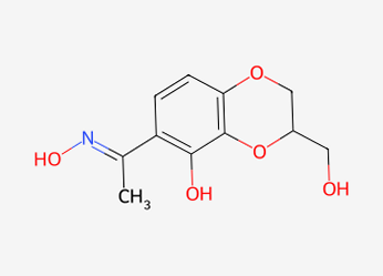 C/C(=N\O)c1ccc2c(c1O)OC(CO)CO2